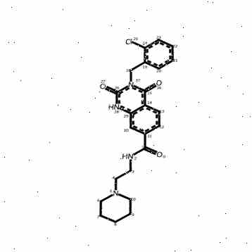 O=C(NCCN1CCCCC1)c1ccc2c(=O)n(Cc3ccccc3Cl)c(=O)[nH]c2c1